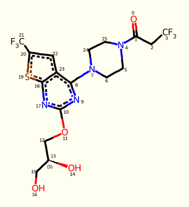 O=C(CC(F)(F)F)N1CCN(c2nc(OC[C@@H](O)CO)nc3sc(C(F)(F)F)cc23)CC1